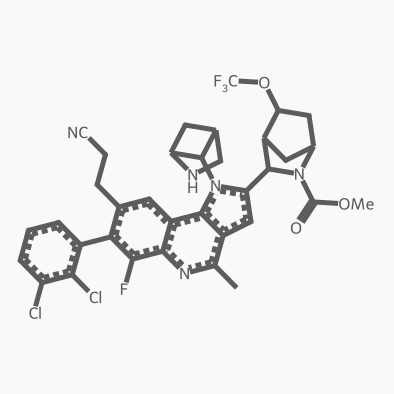 COC(=O)N1C2CC(OC(F)(F)F)C(C2)C1c1cc2c(C)nc3c(F)c(-c4cccc(Cl)c4Cl)c(CCC#N)cc3c2n1C1C2CNC1C2